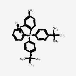 Cc1ccc([P+](c2ccccc2)(c2ccc(C(C)(C)C)cc2)c2ccc(C(C)(C)C)cc2)c(S(=O)(=O)[O-])c1